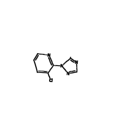 Clc1cccnc1-n1[c]ncn1